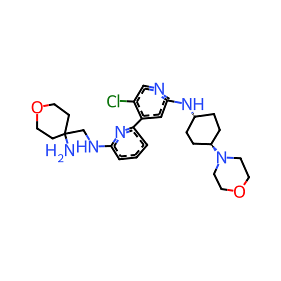 NC1(CNc2cccc(-c3cc(N[C@H]4CC[C@H](N5CCOCC5)CC4)ncc3Cl)n2)CCOCC1